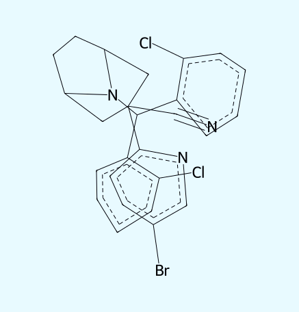 N#CC1(c2ccc(Br)cn2)CC2CCC(C1)N2C(c1ccccc1Cl)c1ccccc1Cl